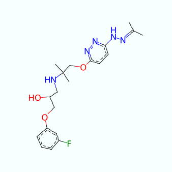 CC(C)=NNc1ccc(OCC(C)(C)NCC(O)COc2cccc(F)c2)nn1